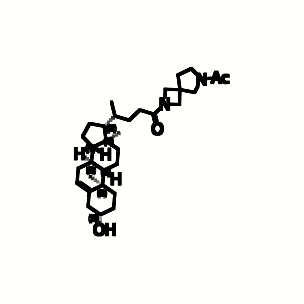 CC(=O)N1CCC2(C1)CN(C(=O)CCC(C)[C@H]1CC[C@H]3[C@@H]4CC=C5C[C@@H](O)CC[C@]5(C)[C@H]4CC[C@]13C)C2